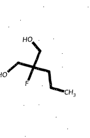 CCCC(F)(CO)CO